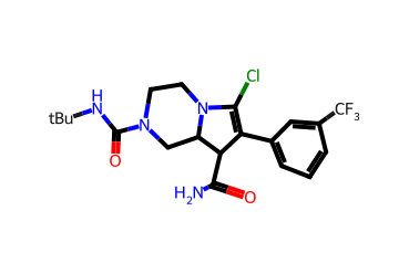 CC(C)(C)NC(=O)N1CCN2C(Cl)=C(c3cccc(C(F)(F)F)c3)C(C(N)=O)C2C1